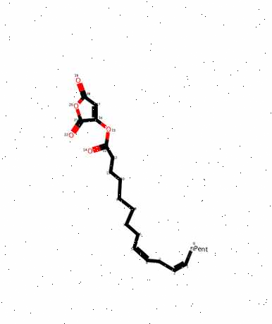 CCCCC/C=C\C/C=C\CCCCCCCC(=O)OC1=CC(=O)OC1=O